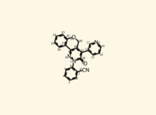 N#Cc1ccccc1-n1nc2c(c(-c3cccnc3)c1=O)COc1ccccc1-2